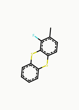 Cc1ccc2c(c1F)Sc1ccccc1S2